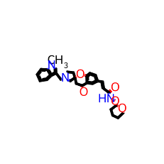 Cn1cc(CN2CCC3(CC(=O)c4cc(C=CC(=O)NOC5CCCCO5)ccc4O3)C2)c2ccccc21